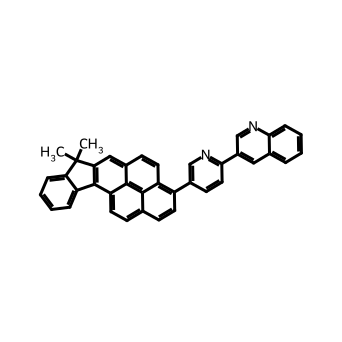 CC1(C)c2ccccc2-c2c1cc1ccc3c(-c4ccc(-c5cnc6ccccc6c5)nc4)ccc4ccc2c1c43